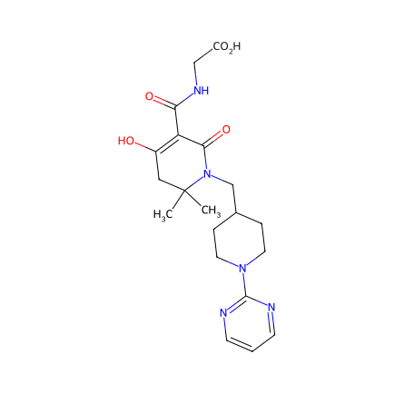 CC1(C)CC(O)=C(C(=O)NCC(=O)O)C(=O)N1CC1CCN(c2ncccn2)CC1